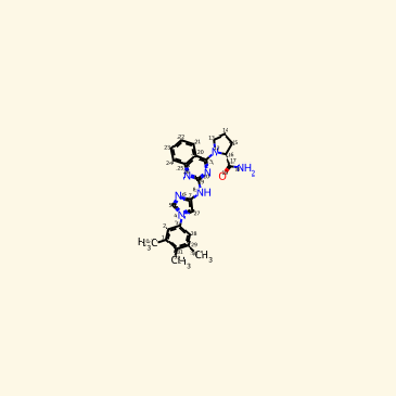 Cc1cc(-n2cnc(Nc3nc(N4CCC[C@H]4C(N)=O)c4ccccc4n3)c2)cc(C)c1C